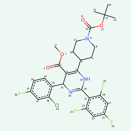 COC(=O)C1=C(C2CCN(C(=O)OC(C)(C)C)CC2)NC(c2c(F)cc(F)cc2F)=NC1c1ccc(F)cc1Cl